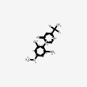 O=c1cc(C(F)(F)C(F)(F)F)ncn1-c1c(Cl)cc(OC(F)(F)F)cc1[N+](=O)[O-]